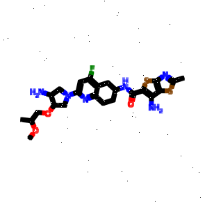 COC(C)COC1CN(c2cc(F)c3c(n2)CCC(NC(=O)c2sc4nc(C)sc4c2N)C3)CC1N